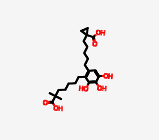 CC(C)(CCCCCc1c(CCCCCC2(C(=O)O)CC2)cc(O)c(O)c1O)C(=O)O